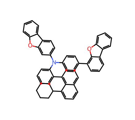 c1ccc(N(c2ccc(-c3cccc4c3oc3ccccc34)cc2)c2ccc3c(c2)oc2ccccc23)c(-c2cccc3cccc(C4CCCCC4)c23)c1